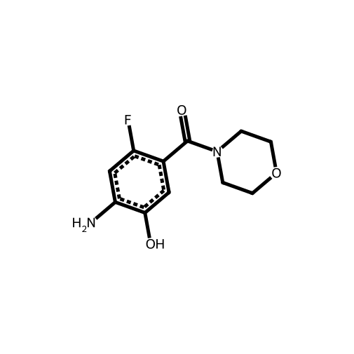 Nc1cc(F)c(C(=O)N2CCOCC2)cc1O